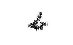 N#Cc1ccc(OCCCN2CCC(C(c3ccc(F)cc3)c3ccc(F)cc3)CC2)cc1.O=C(O)/C=C/C(=O)O